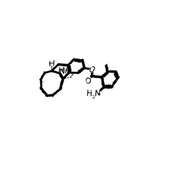 Cc1cccc(N)c1C(=O)Oc1ccc2c(c1)[C@@]1(C)CCCCCC[C@@H](C2)[C@@H]1N